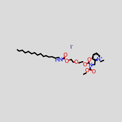 CCCCCCCCCCCCCCCNC(=O)OCCOCCOC(=O)N(Cc1cccc[n+]1CC)C(=O)OCC.[I-]